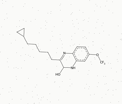 OC1Nc2cc(OC(F)(F)F)ccc2N=C1CCCCCC1CC1